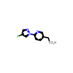 O=C(O)Cc1ccc(-n2cc(F)cn2)nc1